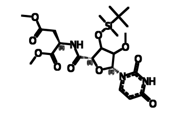 COC(=O)C[C@@H](NC(=O)[C@H]1O[C@@H](n2ccc(=O)[nH]c2=O)C(OC)C1O[Si](C)(C)C(C)(C)C)C(=O)OC